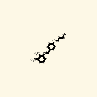 Cc1c(NCc2ccc(OCC=CBr)cc2)cccc1[N+](=O)[O-]